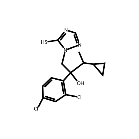 CC(C1CC1)C(O)(Cn1ncnc1S)c1ccc(Cl)cc1Cl